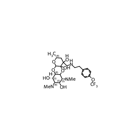 CN[C@@H]1[C@H](O)[C@H](NC)C2OC3(O)C(O[C@H](C)CC3(O)CNCCc3ccc(OC(F)(F)F)cc3)O[C@@H]2[C@H]1O